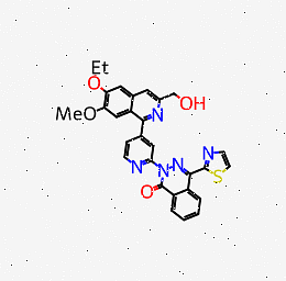 CCOc1cc2cc(CO)nc(-c3ccnc(-n4nc(-c5nccs5)c5ccccc5c4=O)c3)c2cc1OC